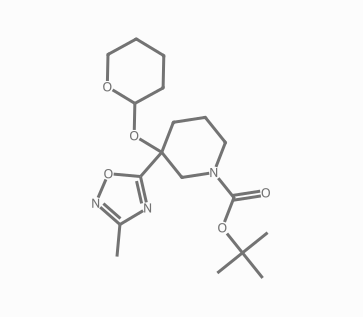 Cc1noc(C2(OC3CCCCO3)CCCN(C(=O)OC(C)(C)C)C2)n1